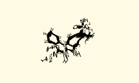 N=C(N)NC1Nc2cc(C(F)(F)F)c(S(N)(=O)=O)cc2N1c1ccccc1Cl